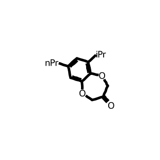 CCCc1cc2c(c(C(C)C)c1)OCC(=O)CO2